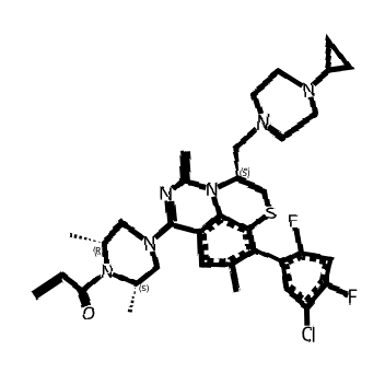 C=CC(=O)N1[C@H](C)CN(C2=NC(=C)N3c4c2cc(C)c(-c2cc(Cl)c(F)cc2F)c4SC[C@@H]3CN2CCN(C3CC3)CC2)C[C@@H]1C